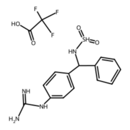 N=C(N)Nc1ccc(C(N[SH](=O)=O)c2ccccc2)cc1.O=C(O)C(F)(F)F